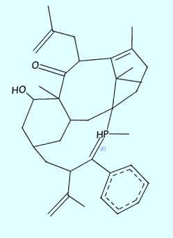 C=C(C)CC1C(=O)C2(C)C(O)CC3CC(C(=C)C)/C(c4ccccc4)=[PH](/C)C4(CCC(C)=C1C4(C)C)CC2C3